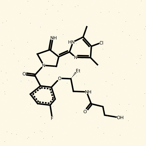 CC[C@H](CNC(=O)CCO)Oc1cc(F)ccc1C(=O)N1CC(=N)/C(=C2/N=C(C)C(Cl)=C(C)N2)C1